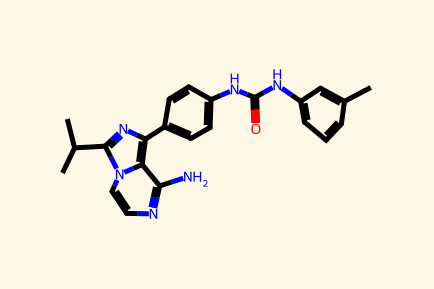 Cc1cccc(NC(=O)Nc2ccc(-c3nc(C(C)C)n4ccnc(N)c34)cc2)c1